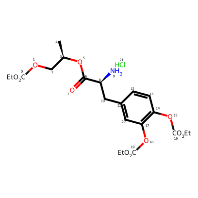 CCOC(=O)OC[C@@H](C)OC(=O)[C@@H](N)Cc1ccc(OC(=O)OCC)c(OC(=O)OCC)c1.Cl